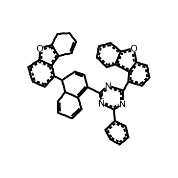 C1=CC2=C(c3nc(-c4ccccc4)nc(-c4cccc5oc6ccccc6c45)n3)C=CC(c3cccc4oc5c(c34)C=CCC5)C2C=C1